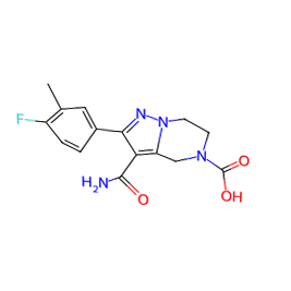 Cc1cc(-c2nn3c(c2C(N)=O)CN(C(=O)O)CC3)ccc1F